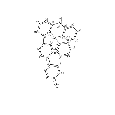 Clc1ccc(-c2ccc3c(c2)C2(c4ccccc4)c4ccccc4Nc4cccc-3c42)cc1